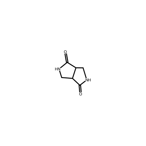 O=C1NCC2C(=O)NCC12